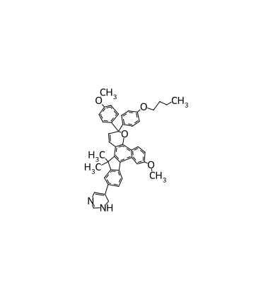 CCCCOc1ccc(C2(c3ccc(OC)cc3)C=Cc3c4c(c5cc(OC)ccc5c3O2)-c2ccc(C3=CN=CNC3)cc2C4(C)C)cc1